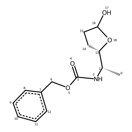 C[C@H](NC(=O)OCc1ccccc1)[C@@H]1CCC(O)O1